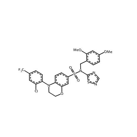 COc1ccc(CN(c2ncns2)S(=O)(=O)c2ccc3c(c2)OCCN3c2ccc(C(F)(F)F)cc2Cl)c(OC)c1